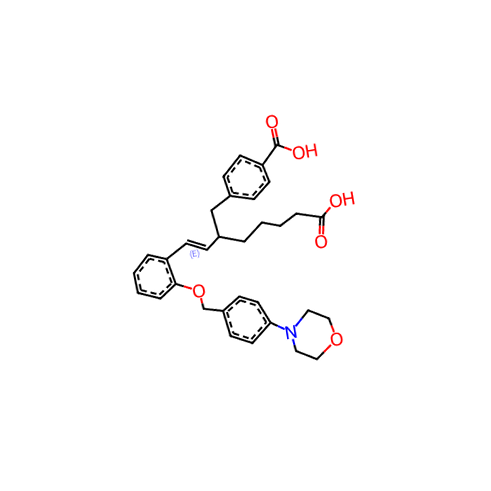 O=C(O)CCCCC(/C=C/c1ccccc1OCc1ccc(N2CCOCC2)cc1)Cc1ccc(C(=O)O)cc1